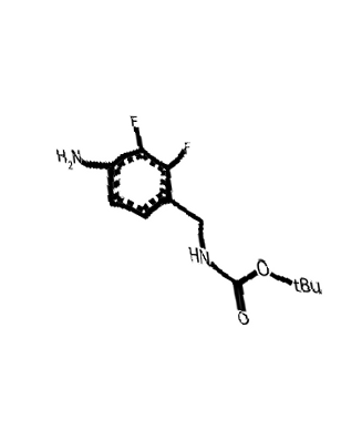 CC(C)(C)OC(=O)NCc1ccc(N)c(F)c1F